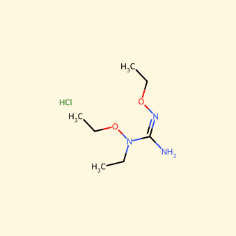 CCON=C(N)N(CC)OCC.Cl